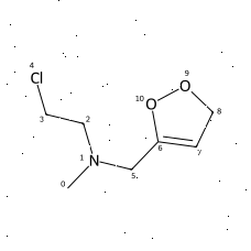 CN(CCCl)CC1=CCOO1